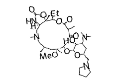 CC[C@H]1OC(=O)C(C)C(=O)[C@H](C)[C@@H](O[C@@H]2O[C@H](CN3CCCC3)CC(N(C)C)C2O)[C@](C)(OC)C[C@@H](C)CN(C)[C@H](C)[C@H]2NC(=O)O[C@@]21C